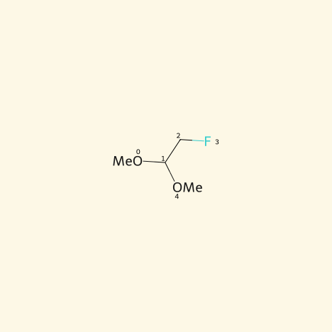 COC(CF)OC